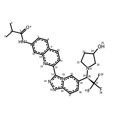 CC(C)C(=O)Nc1ccc2ccc(-c3nnc4ccc([C@@H](N5CCC(O)C5)C(F)(F)F)cn34)nc2c1